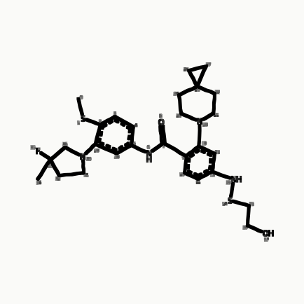 CSc1ccc(NC(=O)c2ccc(NSCCO)cc2N2CCC3(CC2)CC3)cc1N1CCC(C)(F)C1